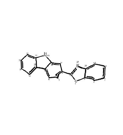 c1ccc2oc(-c3ccc4c(c3)[nH]c3ccccc34)nc2c1